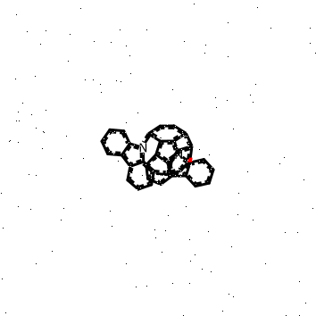 c1ccc2c(c1)c1cccc3c4ccc(cc4)c4ccc(c5c6cccc7c8ccccc8n(c76)c45)n2c31